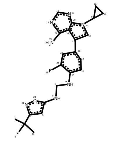 CC(C)(F)c1cc(NCNc2ccc(-c3cn(C4CC4)c4ncnc(N)c34)cc2F)on1